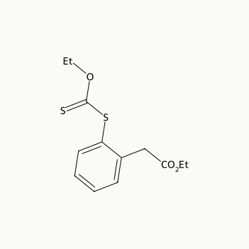 CCOC(=O)Cc1ccccc1SC(=S)OCC